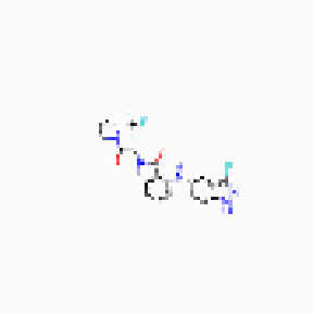 O=C1c2c(cccc2Nc2ccc3[nH]nc(F)c3c2)CN1CC(=O)N1CCC[C@H]1C(F)(F)F